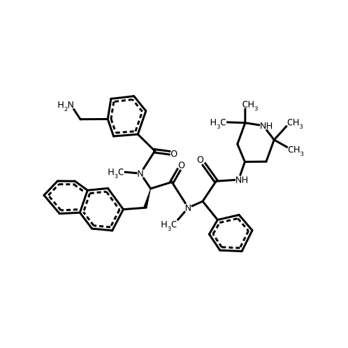 CN(C(=O)[C@@H](Cc1ccc2ccccc2c1)N(C)C(=O)c1cccc(CN)c1)C(C(=O)NC1CC(C)(C)NC(C)(C)C1)c1ccccc1